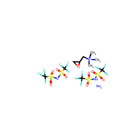 C[N+](C)(C)CC1CO1.N.O=S(=O)(NS(=O)(=O)C(F)(F)F)C(F)(F)F.O=S(=O)([N-]S(=O)(=O)C(F)(F)F)C(F)(F)F